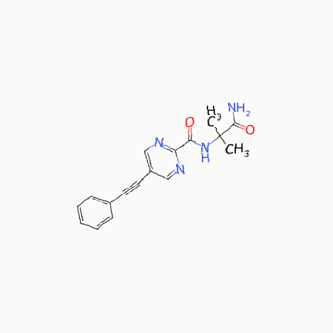 CC(C)(NC(=O)c1ncc(C#Cc2ccccc2)cn1)C(N)=O